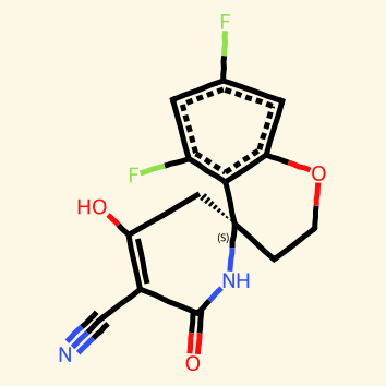 N#CC1=C(O)C[C@]2(CCOc3cc(F)cc(F)c32)NC1=O